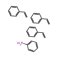 C=Cc1ccccc1.C=Cc1ccccc1.C=Cc1ccccc1.Pc1ccccc1